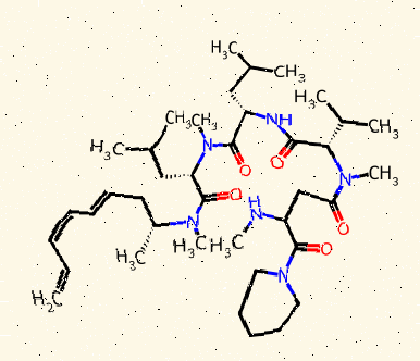 C=C/C=C\C=C\C[C@@H](C)N(C)C(=O)[C@H](CC(C)C)N(C)C(=O)[C@H](CC(C)C)NC(=O)[C@H](C(C)C)N(C)C(=O)CC(NC)C(=O)N1CCCCC1